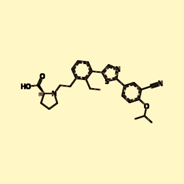 CCc1c(CCN2CCC[C@H]2C(=O)O)cccc1-c1cnc(-c2ccc(OC(C)C)c(C#N)c2)s1